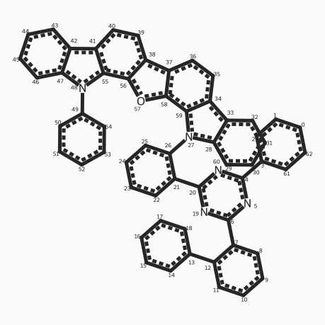 c1ccc(-c2nc(-c3ccccc3-c3ccccc3)nc(-c3ccccc3-n3c4ccccc4c4ccc5c6ccc7c8ccccc8n(-c8ccccc8)c7c6oc5c43)n2)cc1